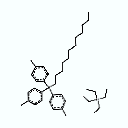 CCCCCCCCCCCC[B-](c1ccc(C)cc1)(c1ccc(C)cc1)c1ccc(C)cc1.CC[N+](CC)(CC)CC